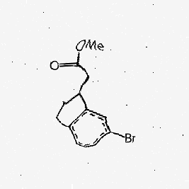 COC(=O)C[C@@H]1CCc2ccc(Br)cc21